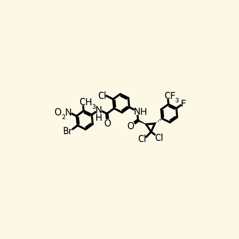 Cc1c(NC(=O)c2cc(NC(=O)[C@H]3[C@H](c4ccc(F)c(C(F)(F)F)c4)C3(Cl)Cl)ccc2Cl)ccc(Br)c1[N+](=O)[O-]